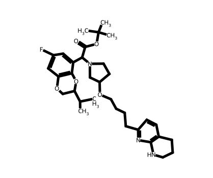 CC(C)C1COc2cc(F)cc(C(C(=O)OC(C)(C)C)N3CCC(OCCCCc4ccc5c(n4)NCCC5)C3)c2O1